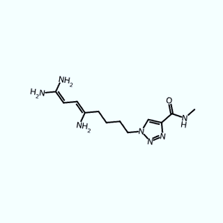 CNC(=O)c1cn(CCCC/C(N)=C/C=C(N)N)nn1